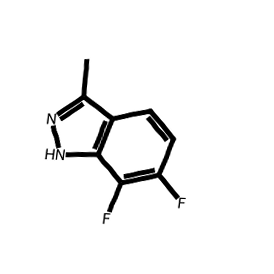 Cc1n[nH]c2c(F)c(F)ccc12